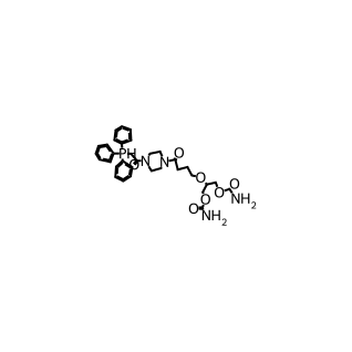 NC(=O)OCC(COC(N)=O)OCCCC(=O)N1CCN(C(=O)C[PH](c2ccccc2)(c2ccccc2)c2ccccc2)CC1